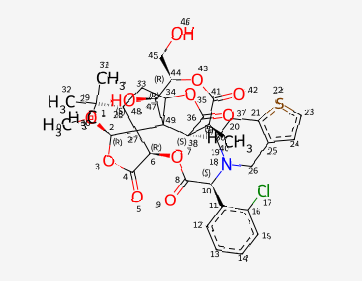 CO[C@@H]1OC(=O)[C@H](OC(=O)[C@H](c2ccccc2Cl)N2CCc3sccc3C2)C12[C@H](C(C)(C)C)CC1OC(=O)[C@H]3[C@H](C)C(=O)O[C@H](CO)[C@H](O)C132